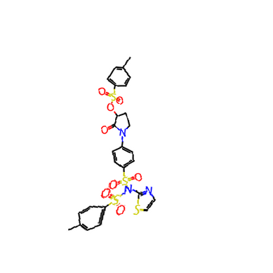 Cc1ccc(S(=O)(=O)OC2CCN(c3ccc(S(=O)(=O)N(c4nccs4)S(=O)(=O)c4ccc(C)cc4)cc3)C2=O)cc1